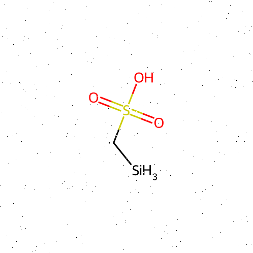 O=S(=O)(O)[CH][SiH3]